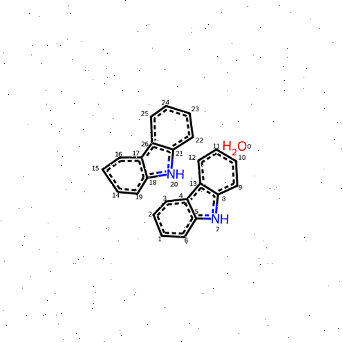 O.c1ccc2c(c1)[nH]c1ccccc12.c1ccc2c(c1)[nH]c1ccccc12